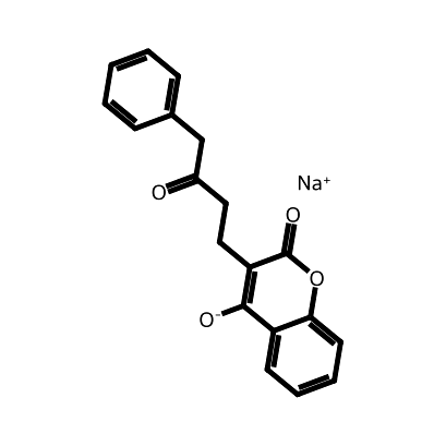 O=C(CCc1c([O-])c2ccccc2oc1=O)Cc1ccccc1.[Na+]